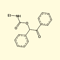 CCNC(=O)OC(C(=O)c1ccccc1)c1ccccc1